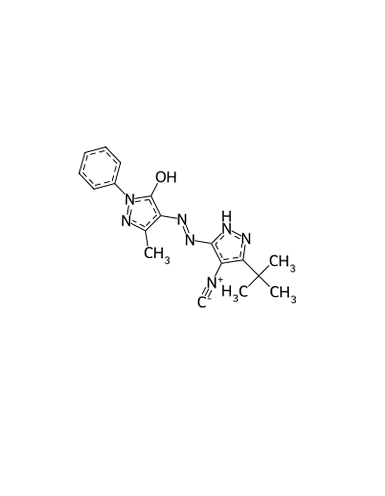 [C-]#[N+]c1c(C(C)(C)C)n[nH]c1/N=N/c1c(C)nn(-c2ccccc2)c1O